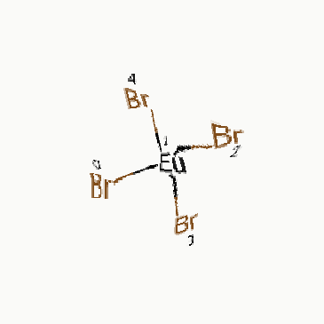 [Br][Eu]([Br])([Br])[Br]